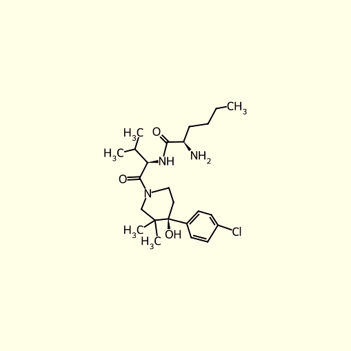 CCCC[C@@H](N)C(=O)N[C@@H](C(=O)N1CC[C@](O)(c2ccc(Cl)cc2)C(C)(C)C1)C(C)C